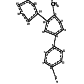 Cc1ccc(-c2ccc(F)cc2)cc1-c1ccccc1